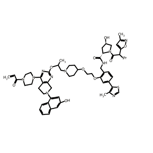 C=CC(=O)N1CCN(c2nc(OC(C)CN3CCC(OCCOc4cc(-c5scnc5C)ccc4CNC(=O)[C@@H]4C[C@@H](O)CN4C(=O)C(c4cc(C)no4)C(C)C)CC3)nc3c2CCN(c2cc(O)cc4ccccc24)C3)CC1